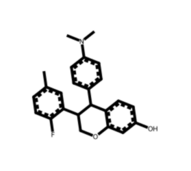 Cc1ccc(F)c(C2COc3cc(O)ccc3C2c2ccc(N(C)C)cc2)c1